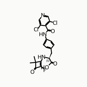 CC1(C)C(=O)C(F)=C1N[C@@H](Cc1ccc(NC(=O)c2c(Cl)cncc2Cl)cc1)C(=O)O